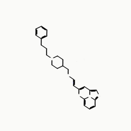 C1=C(/C=C/SCC2CCN(CCCc3ccccc3)CC2)Sc2cccc3ncc1n23.Cl.Cl